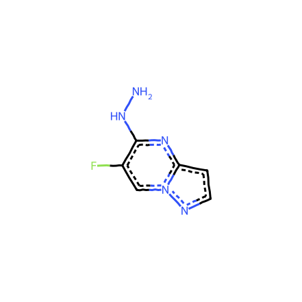 NNc1nc2ccnn2cc1F